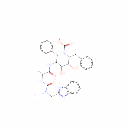 CC(C)[C@H](NC(=O)N(C)Cc1nc2ccccc2[nH]1)C(=O)NC(Cc1ccccc1)C(O)C(O)C(Cc1ccccc1)NC(=O)OC(C)(C)C